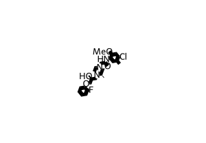 COc1cc(Cl)c(C)cc1NC(=O)CN1CCN(C[C@H](O)COc2ccccc2F)[C@@H](C)C1